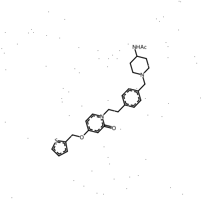 CC(=O)NC1CCN(Cc2ccc(CCn3ccc(OCc4cccs4)cc3=O)cc2)CC1